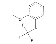 COc1ccccc1[CH]C(F)(F)F